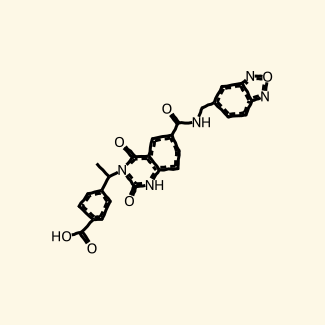 CC(c1ccc(C(=O)O)cc1)n1c(=O)[nH]c2ccc(C(=O)NCc3ccc4nonc4c3)cc2c1=O